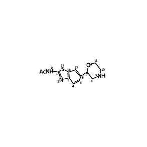 CC(=O)Nc1nc2ccc(C3CNCCO3)cc2s1